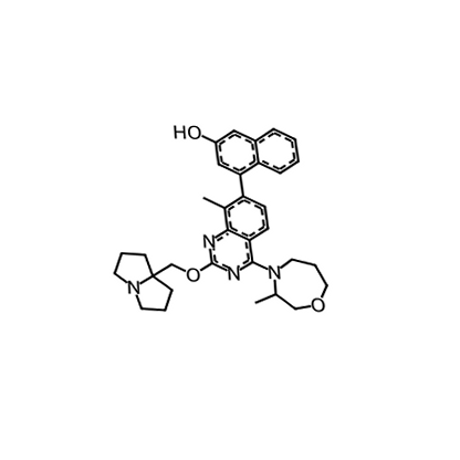 Cc1c(-c2cc(O)cc3ccccc23)ccc2c(N3CCCOCC3C)nc(OCC34CCCN3CCC4)nc12